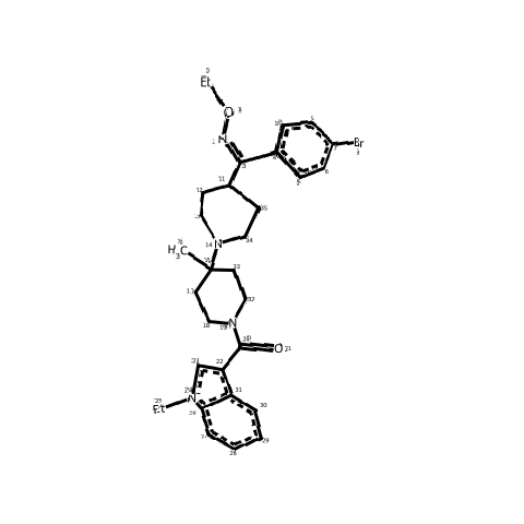 CCON=C(c1ccc(Br)cc1)C1CCN(C2(C)CCN(C(=O)c3cn(CC)c4ccccc34)CC2)CC1